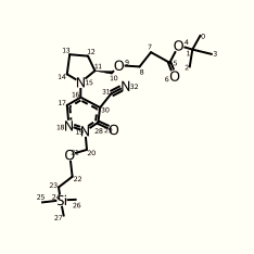 CC(C)(C)OC(=O)CCOC[C@@H]1CCCN1c1cnn(COCC[Si](C)(C)C)c(=O)c1C#N